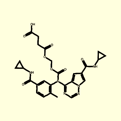 Cc1ccc(C(=O)NC2CC2)cc1N(C(=O)OCOC(=O)CCC(=O)O)c1ncnn2cc(C(=O)NC3CC3)cc12